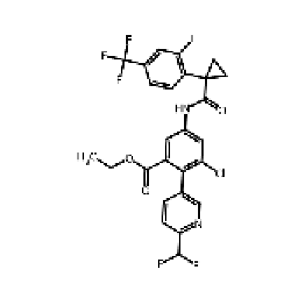 CCOC(=O)c1cc(NC(=O)C2(c3ccc(C(F)(F)F)cc3F)CC2)cc(Cl)c1-c1ccc(C(F)F)nc1